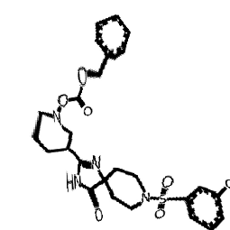 O=C(OCc1ccccc1)ON1CCCC(C2=NC3(CCN(S(=O)(=O)c4cccc(Cl)c4)CC3)C(=O)N2)C1